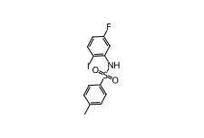 Cc1ccc(S(=O)(=O)Nc2cc(F)ccc2I)cc1